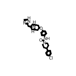 O=C(Nc1ccc(O[C@H]2C[C@H]3CC(Cc4ncc[nH]4)C[C@@H](C2)N3)cc1)N1CCC(c2ccc(Cl)cc2)CC1